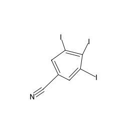 N#Cc1cc(I)c(I)c(I)c1